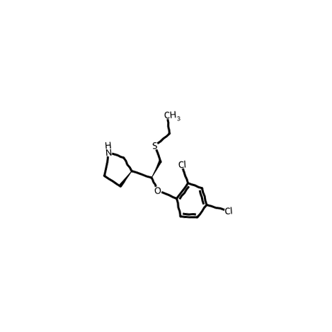 CCSC[C@@H](Oc1ccc(Cl)cc1Cl)[C@H]1CCNC1